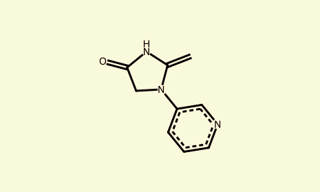 C=C1NC(=O)CN1c1cccnc1